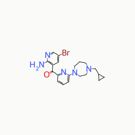 Nc1ncc(Br)cc1C(=O)c1cccc(N2CCCN(CC3CC3)CC2)n1